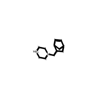 C1=CC2CC1CC2CN1CCNCC1